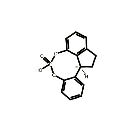 O=P1(O)Oc2ccccc2[C@@H]2CCc3cccc(c32)O1